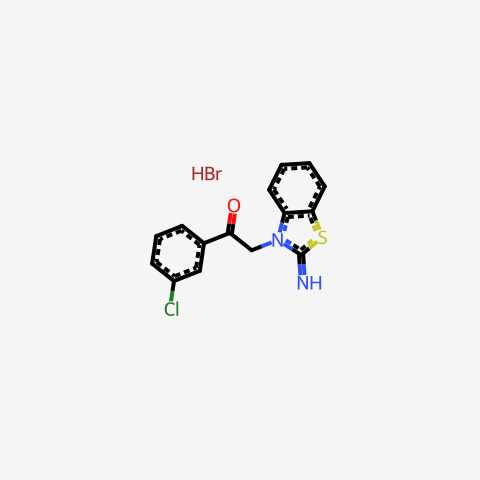 Br.N=c1sc2ccccc2n1CC(=O)c1cccc(Cl)c1